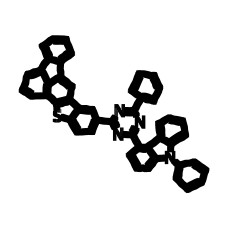 c1ccc(-c2nc(-c3ccc4sc5c6cccc7c6c(cc5c4c3)-c3ccccc3-7)nc(-c3cccc4c3c3ccccc3n4-c3ccccc3)n2)cc1